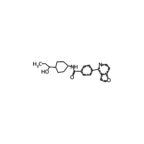 CCC(O)C1CCC(NC(=O)c2ccc(-c3nccc4occc34)cc2)CC1